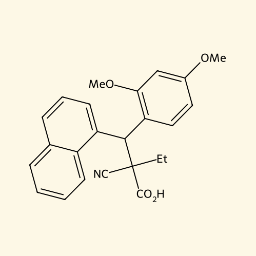 CCC(C#N)(C(=O)O)C(c1ccc(OC)cc1OC)c1cccc2ccccc12